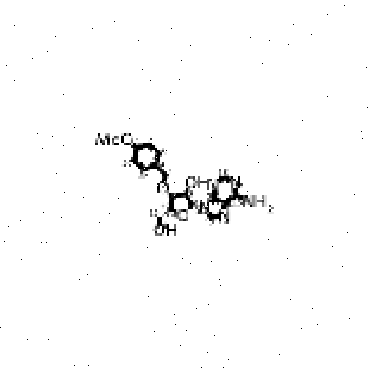 COc1ccc(COC2C(O)[C@H](n3cnc4c(N)ncnc43)O[C@@H]2CO)cc1